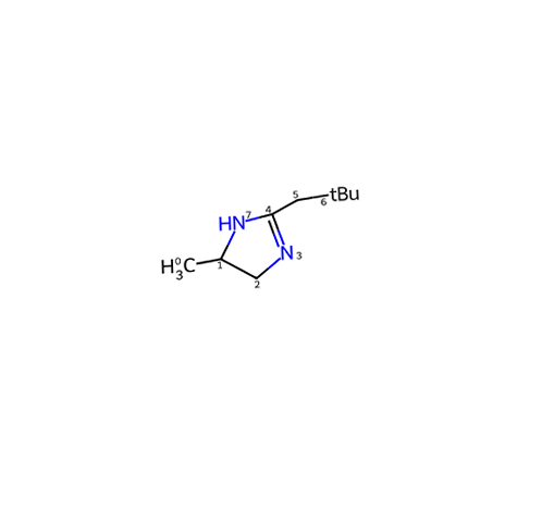 CC1CN=C(CC(C)(C)C)N1